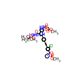 COC(=O)CS(=O)(=O)Nc1cc2nc(-c3ccc(C#Cc4ccc(C(=O)N5CCCC[C@H]5C(=O)OC)cc4Cl)cc3)cc(C(=O)NNC(=O)OC(C)(C)C)c2cn1